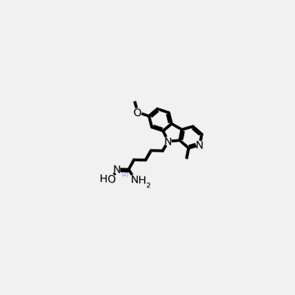 COc1ccc2c3ccnc(C)c3n(CCCC/C(N)=N/O)c2c1